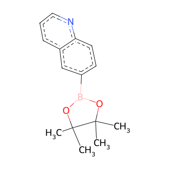 CC1(C)OB(c2ccc3ncccc3c2)OC1(C)C